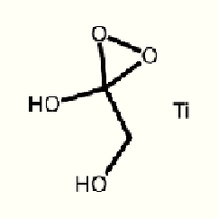 OCC1(O)OO1.[Ti]